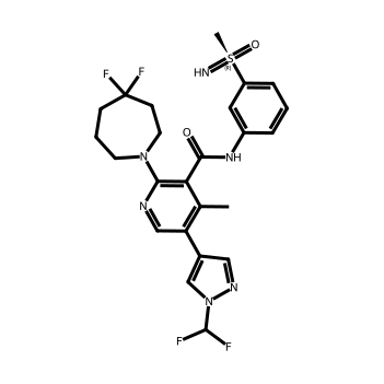 Cc1c(-c2cnn(C(F)F)c2)cnc(N2CCCC(F)(F)CC2)c1C(=O)Nc1cccc([S@](C)(=N)=O)c1